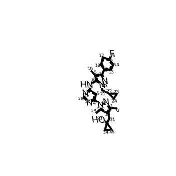 Cc1nn(-c2cc(Nc3c(C)c(-c4ccc(F)cc4)nn3CC3CC3)ncn2)c(C)c1CC1(O)CC1